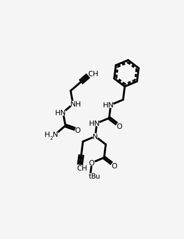 C#CCN(CC(=O)OC(C)(C)C)NC(=O)NCc1ccccc1.C#CCNNC(N)=O